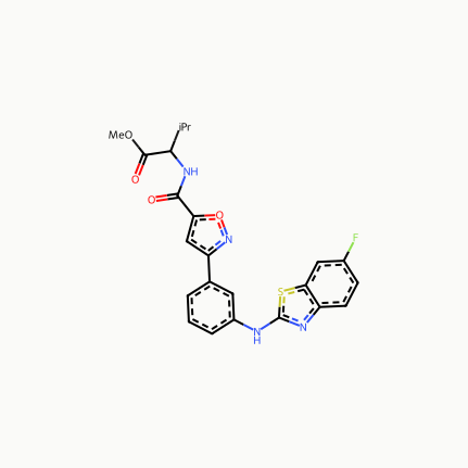 COC(=O)C(NC(=O)c1cc(-c2cccc(Nc3nc4ccc(F)cc4s3)c2)no1)C(C)C